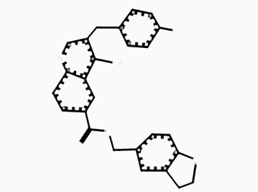 O=C(O)c1ccc(Cc2cnc3ccc(C(=O)OCc4ccc5c(c4)CCS5)cc3c2O)cc1